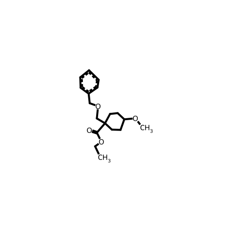 CCOC(=O)C1(COCc2ccccc2)CCC(OC)CC1